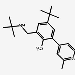 Cc1cc(-c2cc(C(C)(C)C)cc(CNC(C)(C)C)c2O)ccn1